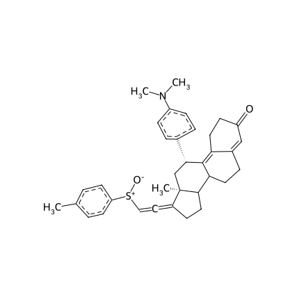 Cc1ccc([S+]([O-])C=C=C2CCC3C4CCC5=CC(=O)CCC5=C4[C@@H](c4ccc(N(C)C)cc4)C[C@]23C)cc1